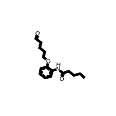 CCCCC(=O)Nc1ccccc1OCCCC[C]=O